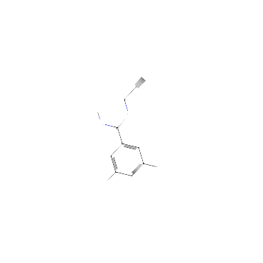 C#CCNC(NC(=O)O)c1cc(C)cc(C)c1